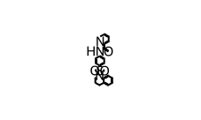 O=C(Nc1ccc(S(=O)(=O)N2CCCc3ccccc32)cc1)c1ccccn1